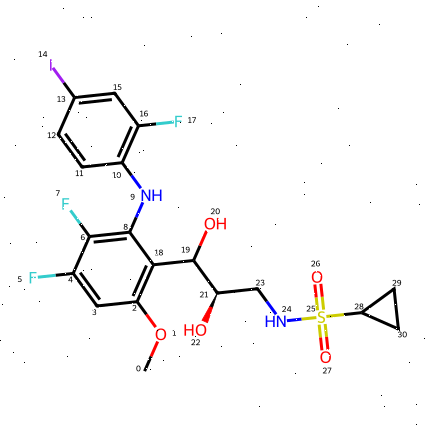 COc1cc(F)c(F)c(Nc2ccc(I)cc2F)c1C(O)[C@H](O)CNS(=O)(=O)C1CC1